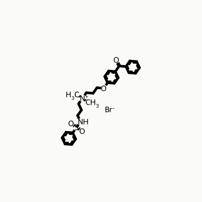 C[N+](C)(CCCNS(=O)(=O)c1ccccc1)CCCOc1ccc(C(=O)c2ccccc2)cc1.[Br-]